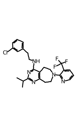 CC(C)c1nc2c(c(NCCc3cccc(Cl)c3)n1)CCN(c1ncccc1C(F)(F)F)CC2